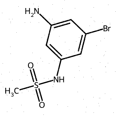 CS(=O)(=O)Nc1cc(N)cc(Br)c1